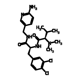 CC(C)[C@H](C(=O)N[C@@H](Cc1ccc(Cl)c(Cl)c1)C(=O)NCc1ccc(N)nc1)N(C)C